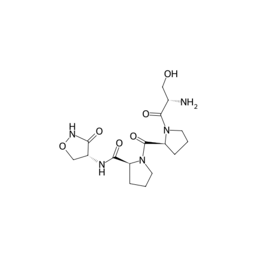 N[C@@H](CO)C(=O)N1CCC[C@H]1C(=O)N1CCC[C@H]1C(=O)N[C@@H]1CONC1=O